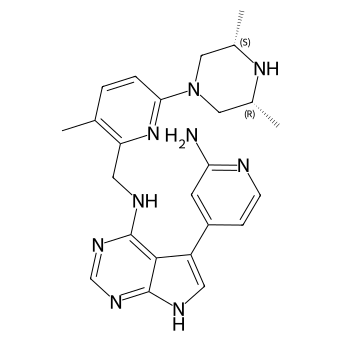 Cc1ccc(N2C[C@@H](C)N[C@@H](C)C2)nc1CNc1ncnc2[nH]cc(-c3ccnc(N)c3)c12